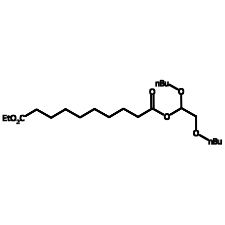 CCCCOCC(OCCCC)OC(=O)CCCCCCCCC(=O)OCC